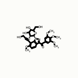 COc1cc(C(=O)c2nn([C@@H]3OC(CO)[C@@H](O)C(O)[C@@H]3O)c3c(C#CCO)c(OC)ccc23)cc(OC)c1OC